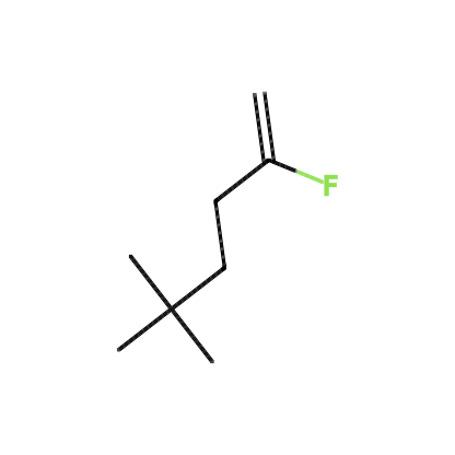 C=C(F)CCC(C)(C)C